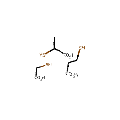 CC(S)C(=O)O.O=C(O)CCS.O=C(O)CS